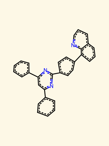 c1ccc(-c2cc(-c3ccccc3)nc(-c3ccc(-c4cccc5cccnc45)cc3)n2)cc1